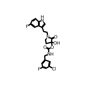 O=C(NCc1cc(F)cc(Cl)c1)OC1(O)CCN(CCc2c[nH]c3ccc(F)cc23)C1=O